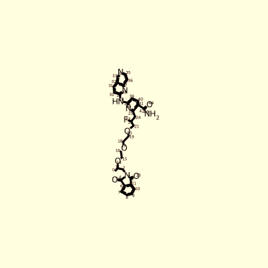 CC(CN1C(=O)c2ccccc2C1=O)OCCOCCOCC(F)Cc1nc(Nc2ccc3cnccc3n2)ccc1C(N)=O